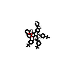 CC(C)(C)c1ccc(N2B3c4oc5ccc(C(C)(C)C)cc5c4N(c4ccc(C(C)(C)C)cc4-c4ccccc4)c4cc5c(oc6ccccc65)c(c43)-c3cc4c(cc32)sc2ccccc24)cc1